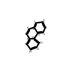 [c]1[c]cc2c(c1)ccc1cc[c]cc12